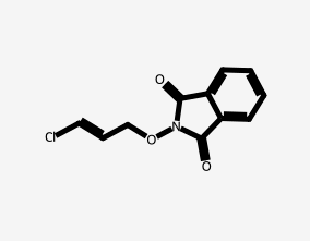 O=C1c2ccccc2C(=O)N1OC/C=C/Cl